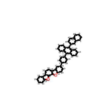 c1ccc2cc(-c3c4ccccc4c(-c4ccc(-c5ccc6oc7c(ccc8c9ccccc9oc87)c6c5)cc4)c4ccccc34)ccc2c1